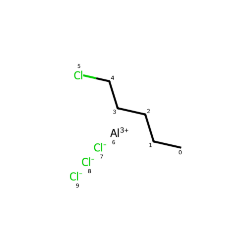 CCCCCCl.[Al+3].[Cl-].[Cl-].[Cl-]